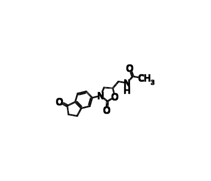 CC(=O)NCC1CN(c2ccc3c(c2)CCC3=O)C(=O)O1